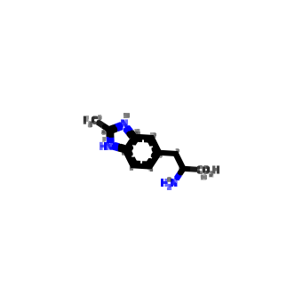 NC(Cc1ccc2[nH]c(C(F)(F)F)nc2c1)C(=O)O